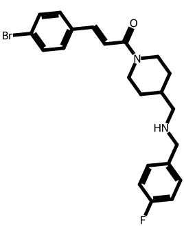 O=C(/C=C/c1ccc(Br)cc1)N1CCC(CNCc2ccc(F)cc2)CC1